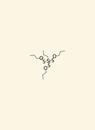 CCCOS[Si](CCC)(SOCCC)SOCCC